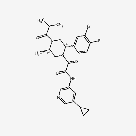 CC(C)C(=O)N1C[C@H](c2ccc(F)c(Cl)c2)N(C(=O)C(=O)Nc2cn[c]c(C3CC3)c2)C[C@H]1C